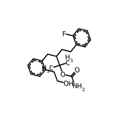 CC(C)(OC(N)=O)C(CCc1ccccc1F)Cc1ccccc1CCO